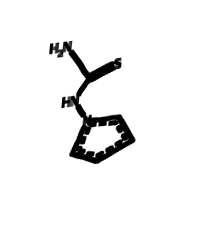 NC(=S)Nn1cccc1